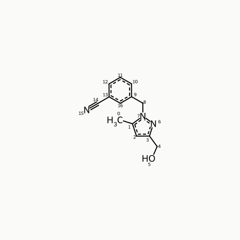 Cc1cc(CO)nn1Cc1cccc(C#N)c1